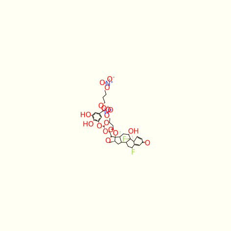 C[C@@H]1CC2C3C[C@H](F)C4=CC(=O)C=C[C@]4(C)[C@@]3(F)[C@@H](O)C[C@]2(C)[C@@]1(OC(=O)CCCO[N+](=O)[O-])C(=O)COC(=O)Oc1cc(C(=O)OCCCCO[N+](=O)[O-])cc(O)c1O